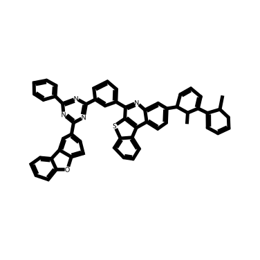 CC1CC=CC=C1C1=CC=CC(c2ccc3c(c2)nc(-c2cccc(-c4nc(-c5ccccc5)nc(-c5ccc6oc7ccccc7c6c5)n4)c2)c2sc4ccccc4c23)C1C